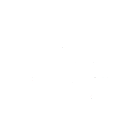 CCCC(Cc1ccc(O)cc1)c1ccc(O)c(F)c1